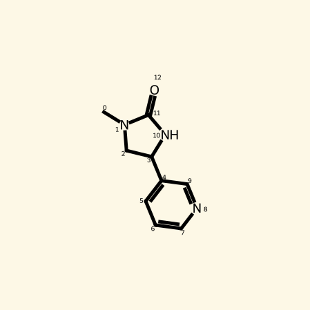 CN1CC(c2cccnc2)NC1=O